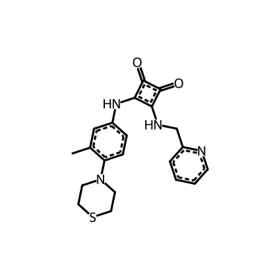 Cc1cc(Nc2c(NCc3ccccn3)c(=O)c2=O)ccc1N1CCSCC1